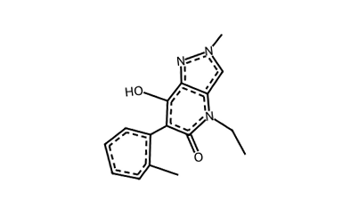 CCn1c(=O)c(-c2ccccc2C)c(O)c2nn(C)cc21